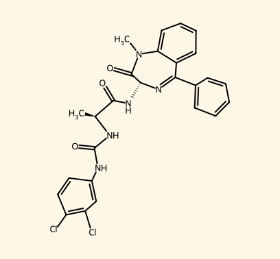 C[C@H](NC(=O)Nc1ccc(Cl)c(Cl)c1)C(=O)N[C@H]1N=C(c2ccccc2)c2ccccc2N(C)C1=O